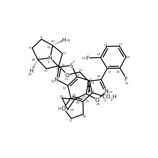 O=C(O)c1cc2sc(N3[C@@H]4CC[C@H]3CC(OCc3c(-c5c(F)cccc5F)noc3C3CC3)C4)nc2c2c1CCO2